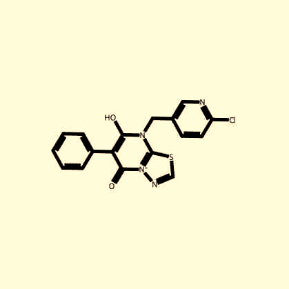 O=c1c(-c2ccccc2)c(O)n(Cc2ccc(Cl)nc2)c2scn[n+]12